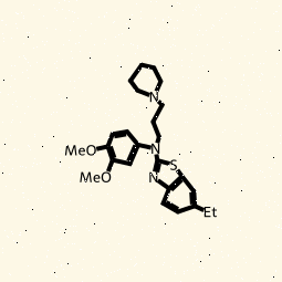 CCc1ccc2nc(N(CCCN3CCCCC3)c3ccc(OC)c(OC)c3)sc2c1